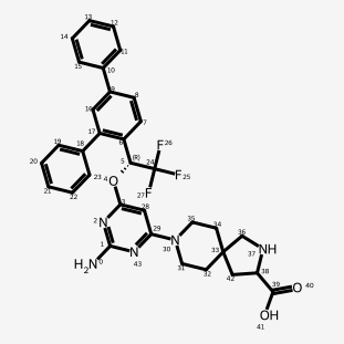 Nc1nc(O[C@H](c2ccc(-c3ccccc3)cc2-c2ccccc2)C(F)(F)F)cc(N2CCC3(CC2)CNC(C(=O)O)C3)n1